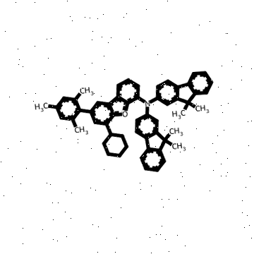 Cc1cc(C)c(-c2cc(C3CCCCC3)c3oc4c(N(c5ccc6c(c5)C(C)(C)c5ccccc5-6)c5ccc6c(c5)C(C)(C)c5ccccc5-6)cccc4c3c2)c(C)c1